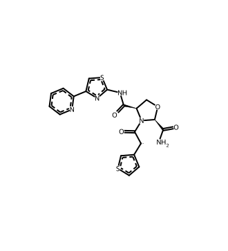 NC(=O)[C@@H]1OC[C@H](C(=O)Nc2nc(-c3ccccn3)cs2)N1C(=O)[CH]c1ccsc1